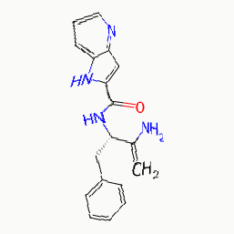 C=C(N)[C@H](Cc1ccccc1)NC(=O)c1cc2ncccc2[nH]1